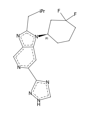 CC(C)Cc1nc2cnc(-c3nc[nH]n3)cc2n1[C@@H]1CCCC(F)(F)C1